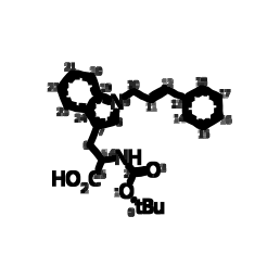 CC(C)(C)OC(=O)NC(Cc1cn(CC=Cc2ccccc2)c2ccccc12)C(=O)O